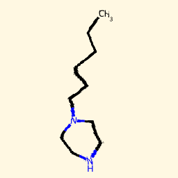 CCCCCCN1C[CH]NCC1